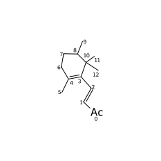 CC(=O)C=CC1=C(C)CCC(C)C1(C)C